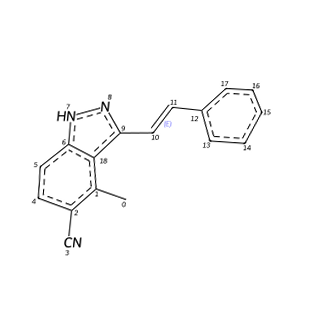 Cc1c(C#N)ccc2[nH]nc(/C=C/c3ccccc3)c12